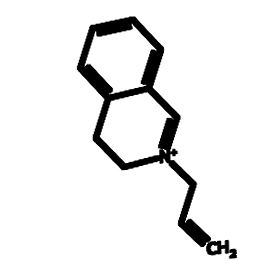 C=CC[N+]1=Cc2ccccc2CC1